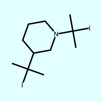 CC(C)(I)C1CCCN(C(C)(C)I)C1